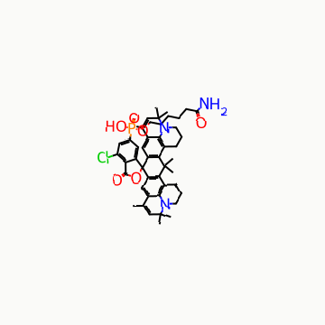 CC1=CC(C)(C)N2CCCc3c2c1cc1c3C(C)(C)c2c(cc3c4c2CCCN4C(C)(C)C=C3C)C12OC(=O)c1c(Cl)cc(P(=O)(O)OCCCCCC(N)=O)cc12